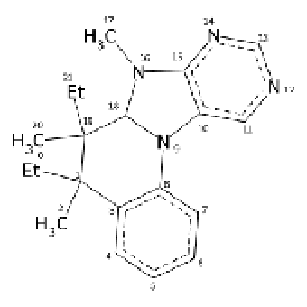 CCC1(C)c2ccccc2N2c3cncnc3N(C)C2C1(C)CC